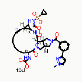 Cn1ccc(-c2cccc(C(=O)N3C[C@H]4CN5C(=O)[C@H](NC(=O)OC(C)(C)C)CCCCC/C=C\[C@@H]6C[C@@]6(C(=O)NS(=O)(=O)C6CC6)NC(=O)[C@@H]5[C@H]4C3)c2)n1